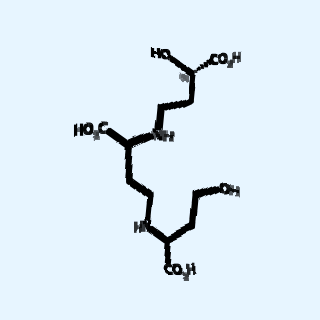 O=C(O)C(CCO)NCCC(NCC[C@H](O)C(=O)O)C(=O)O